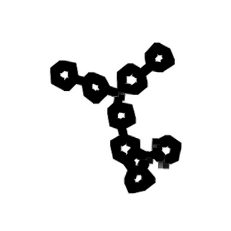 c1ccc(-c2ccc(N(c3ccc(-c4ccccc4)cc3)c3ccc(-c4ccc5c6ccccc6n(-c6ncccn6)c5c4)cc3)cc2)cc1